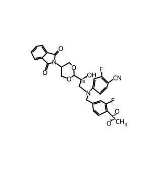 CS(=O)(=O)c1ccc(CN(C[C@H](O)C2OCC(N3C(=O)c4ccccc4C3=O)CO2)c2ccc(C#N)c(F)c2)cc1F